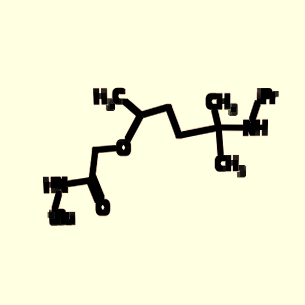 CC(C)NC(C)(C)CCC(C)OCC(=O)NC(C)(C)C